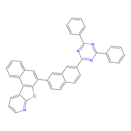 c1ccc(-c2nc(-c3ccccc3)nc(-c3ccc4ccc(-c5cc6ccccc6c6c5oc5ncccc56)cc4c3)n2)cc1